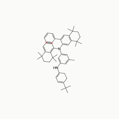 Cc1cc(NC2=CC=C(C(C)(C)C)CC2)cc(N(c2cc3c(cc2-c2ccccc2)C(C)(C)CCC3(C)C)c2cccc3c2C(C)(C)CCC3(C)C)c1